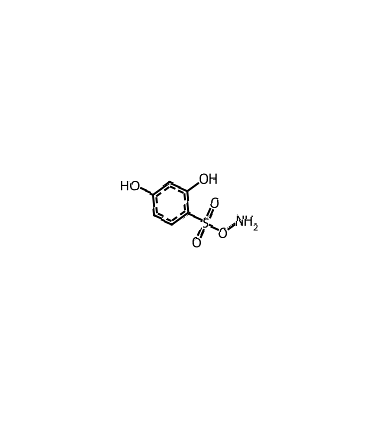 NOS(=O)(=O)c1ccc(O)cc1O